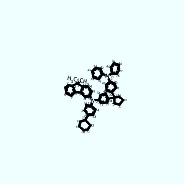 CC1(C)c2ccccc2-c2cc(N(c3ccc(C4CCCCC4)cc3)c3ccc(C4(c5ccc(N(c6ccccc6)c6ccccc6)cc5)CCCC4)cc3)ccc21